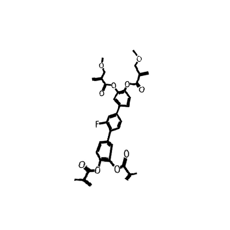 C=C(C)C(=O)Oc1ccc(-c2ccc(-c3ccc(OC(=O)C(=C)COC)c(OC(=O)C(=C)COC)c3)cc2F)cc1OC(=O)C(=C)C